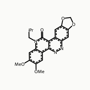 COc1cc2c3nnc4cc5c(cc4c3c(=O)n(CC(C)C)c2cc1OC)OCO5